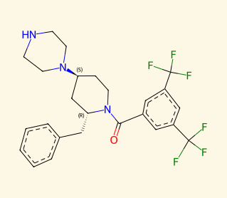 O=C(c1cc(C(F)(F)F)cc(C(F)(F)F)c1)N1CC[C@H](N2CCNCC2)C[C@H]1Cc1ccccc1